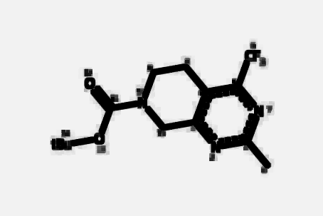 Cc1nc2c(c(C(F)(F)F)n1)CCN(C(=O)OC(C)(C)C)C2